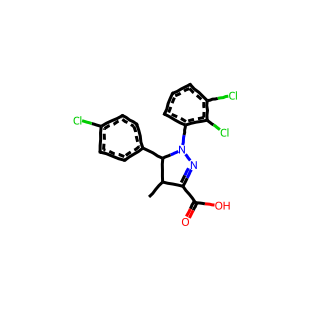 CC1C(C(=O)O)=NN(c2cccc(Cl)c2Cl)C1c1ccc(Cl)cc1